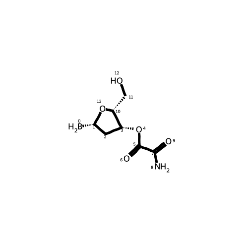 B[C@H]1C[C@@H](OC(=O)C(N)=O)[C@@H](CO)O1